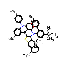 Cc1cc2c3c(c1)N(c1ccc(C(C)(C)C)cc1)c1ccc(C(C)(C)C)cc1B3C1=C(C3C=C4C(=CC3S1)C1(C)CCC(C)C4CC1)N2c1ccc([Si](C)(C)C)cc1-c1ccc(C(C)(C)C)cc1